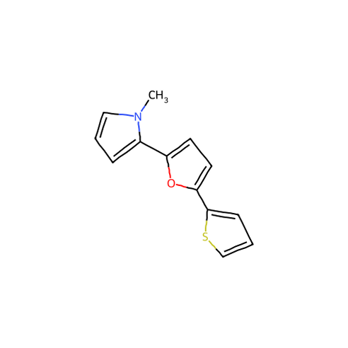 Cn1cccc1-c1ccc(-c2cccs2)o1